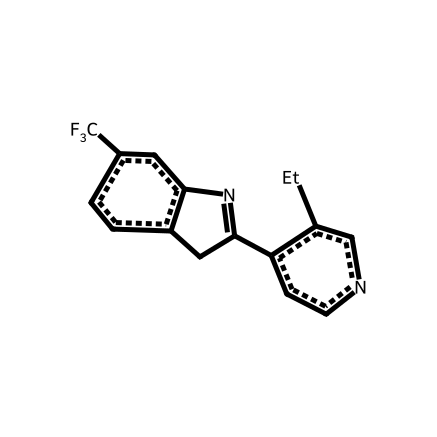 CCc1cnccc1C1=Nc2cc(C(F)(F)F)ccc2C1